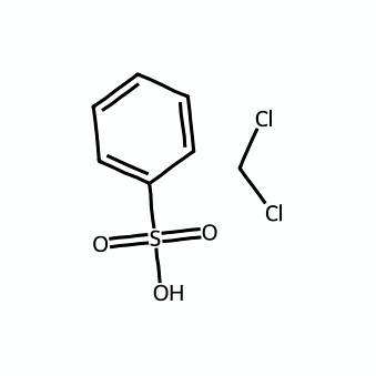 ClCCl.O=S(=O)(O)c1ccccc1